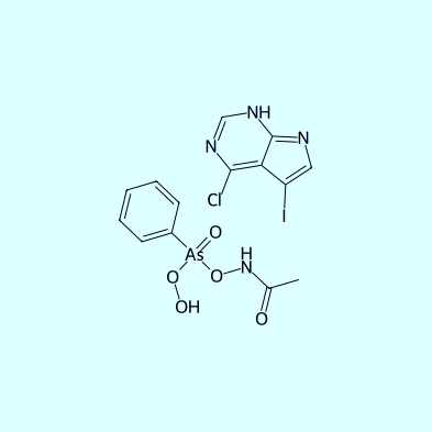 CC(=O)NO[As](=O)(OO)c1ccccc1.Clc1nc[nH]c2ncc(I)c1-2